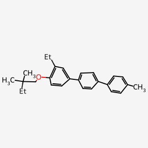 CCc1cc(-c2ccc(-c3ccc(C)cc3)cc2)ccc1OCC(C)(C)CC